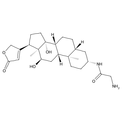 C[C@@]12CC[C@@H](NC(=O)CN)C[C@H]1CC[C@@H]1[C@H]2C[C@@H](O)[C@@]2(C)[C@@H](C3=CC(=O)OC3)CC[C@@]12O